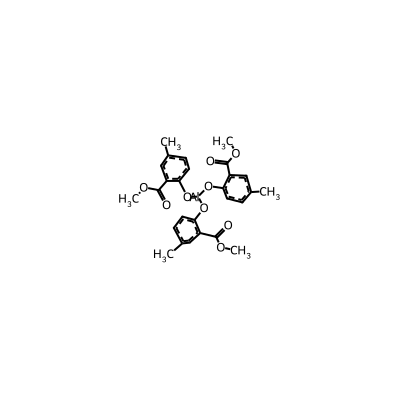 COC(=O)c1cc(C)ccc1[O][Al]([O]c1ccc(C)cc1C(=O)OC)[O]c1ccc(C)cc1C(=O)OC